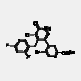 COc1ccc(Br)c(-c2c[nH]c(=O)c(Cl)c2Cc2ccc(F)cc2F)c1